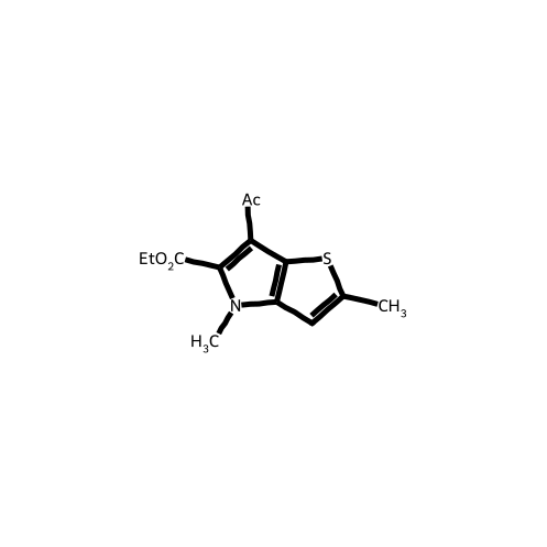 CCOC(=O)c1c(C(C)=O)c2sc(C)cc2n1C